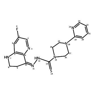 Fc1cnc2c(c1)NCC/C2=N/NC(=S)N1CCN(c2ccccn2)CC1